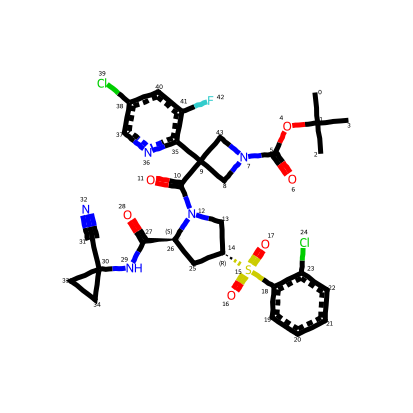 CC(C)(C)OC(=O)N1CC(C(=O)N2C[C@H](S(=O)(=O)c3ccccc3Cl)C[C@H]2C(=O)NC2(C#N)CC2)(c2ncc(Cl)cc2F)C1